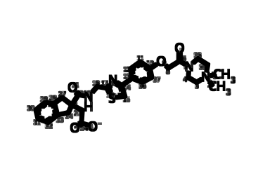 C[N+]1(C)CCN(C(=O)COc2ccc(-c3csc(CNC(=O)C4(CC(=O)[O-])Cc5ccccc5C4)n3)cc2)CC1